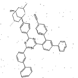 CC1C[C@H]2C[C@@H](C)CC(c3ccc(-c4nc(-c5cccc(-c6ccccc6)c5)nc(-c5ccc(-c6ccccc6)cc5-c5ccc(C#N)cc5)n4)cc3)(C1)C2